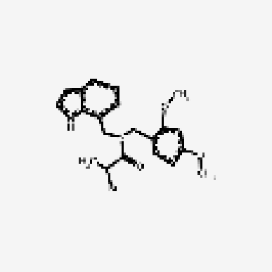 COc1ccc(CN(Cc2cccc3cc[nH]c23)C(=O)C(C)Br)c(OC)c1